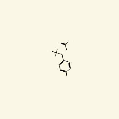 CC(C)(C)[C@H](CC(=O)O)c1ccc(O)cc1